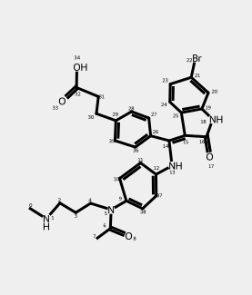 CNCCCN(C(C)=O)c1ccc(N/C(=C2\C(=O)Nc3cc(Br)ccc32)c2ccc(CCC(=O)O)cc2)cc1